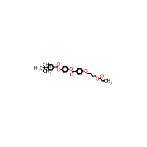 C=CC(=O)OCCCCOc1ccc(C(=O)Oc2ccc(OC(=O)c3ccc(C(C)(C)C)cc3)cc2)cc1